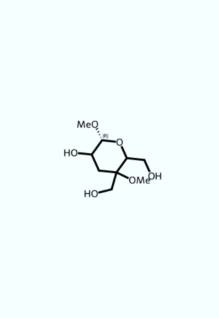 CO[C@@H]1OC(CO)C(CO)(OC)CC1O